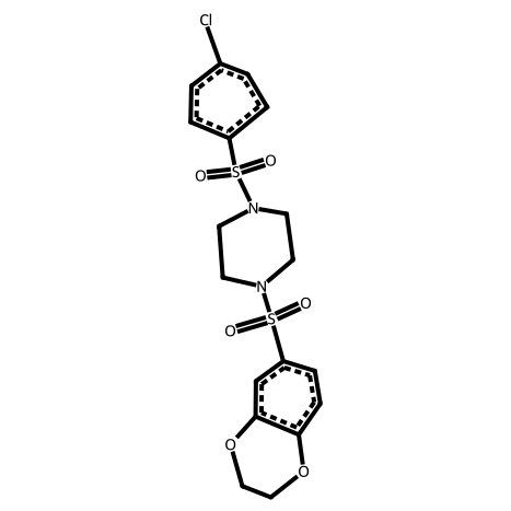 O=S(=O)(c1ccc(Cl)cc1)N1CCN(S(=O)(=O)c2ccc3c(c2)OCCO3)CC1